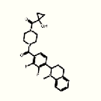 CN1c2ccccc2CCC1c1ccc(C(=O)N2CCN(C(=O)C3(O)CC3)CC2)c(F)c1F